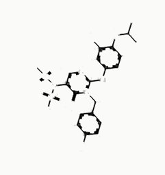 CC(C)Oc1ccc(Nc2ncc(N(S(C)(=O)=O)S(C)(=O)=O)c(=O)n2Cc2ccc(Cl)cc2)cc1F